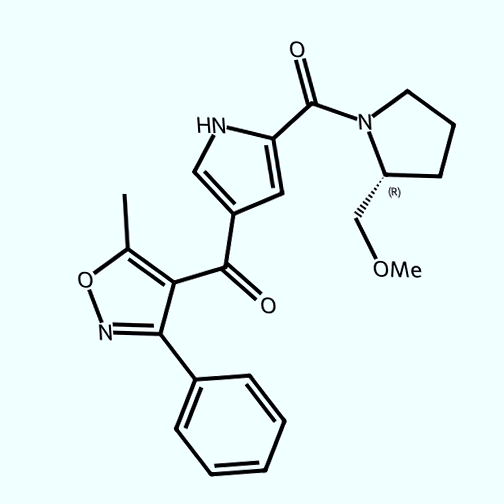 COC[C@H]1CCCN1C(=O)c1cc(C(=O)c2c(-c3ccccc3)noc2C)c[nH]1